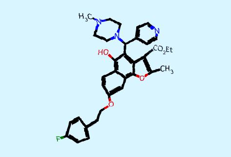 CCOC(=O)c1c(C)oc2c1c(C(c1ccncc1)N1CCN(C)CC1)c(O)c1ccc(OCCc3ccc(F)cc3)cc12